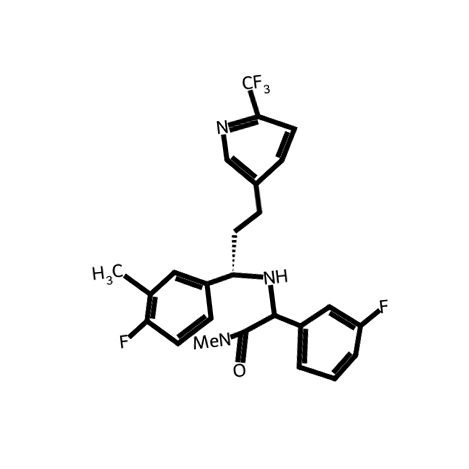 CNC(=O)C(N[C@@H](CCc1ccc(C(F)(F)F)nc1)c1ccc(F)c(C)c1)c1cccc(F)c1